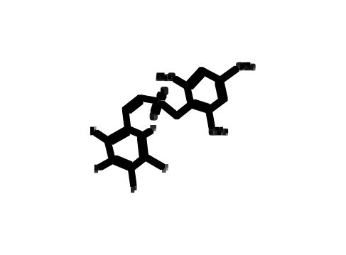 COc1cc(OC)c(CS(=O)(=O)/C=C\c2c(F)c(F)c(F)c(F)c2F)c(OC)c1